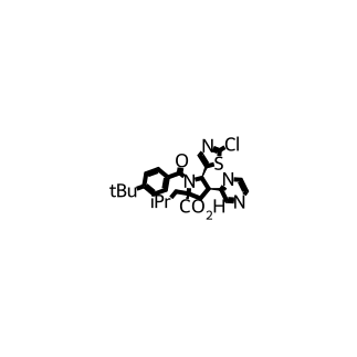 CC(C)C[C@@]1(C(=O)O)C[C@H](c2cnccn2)[C@H](c2cnc(Cl)s2)N1C(=O)c1ccc(C(C)(C)C)cc1